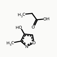 CCC(=O)O.Cc1nocc1O